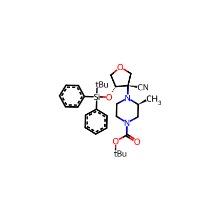 C[C@H]1CN(C(=O)OC(C)(C)C)CCN1[C@@]1(C#N)COC[C@H]1O[Si](c1ccccc1)(c1ccccc1)C(C)(C)C